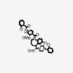 COc1cc(NC(=O)c2ccccc2Cl)ccc1C(=O)N1CCCC(C(C=O)N2CCN(c3ccccc3Cl)CC2)c2cc(Cl)ccc21